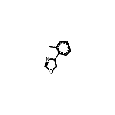 Cc1ccccc1[C@H]1COC=N1